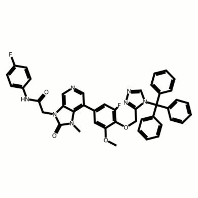 COc1cc(-c2cncc3c2n(C)c(=O)n3CC(=O)Nc2ccc(F)cc2)cc(F)c1OCc1nncn1C(c1ccccc1)(c1ccccc1)c1ccccc1